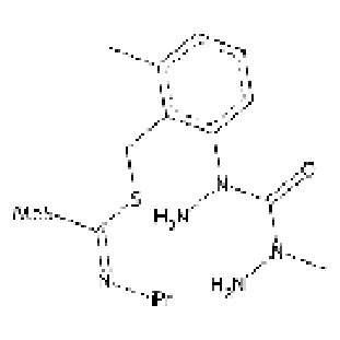 CS/C(=N/C(C)C)SCc1c(C)cccc1N(N)C(=O)N(C)N